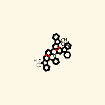 CC1(C)c2ccccc2-c2cc(-c3ccccc3N(c3ccc4c(c3)C3(CCCCC3)c3ccccc3-4)c3ccccc3-c3cccc4c3-c3ccccc3C4(C)C)ccc21